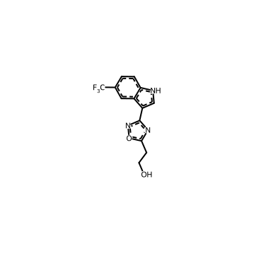 OCCc1nc(-c2c[nH]c3ccc(C(F)(F)F)cc23)no1